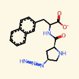 N=[N+]=N[C@@H]1CN[C@H](C(=O)NC(Cc2ccc3ccccc3c2)C(=O)[O-])C1